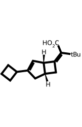 CC(C)(C)C(C(=O)O)=C1C[C@@H]2CC(C3CCC3)=C[C@H]12